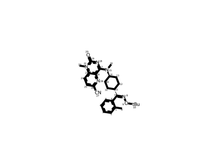 Cc1ccccc1/C(=N\OC(C)(C)C)[C@H]1CC[C@H](N(C)c2nc(=O)n(C)c3ccc(C#N)nc23)CC1